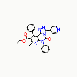 CCOC(=O)c1c(C)nc2c(c1-c1ccccc1)c1nnc(C3C=CN=CC3)n1c(=O)n2-c1ccccc1